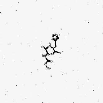 CCC(CNC(=O)OC(C)(C)C)N[C@@H](Cc1c[nH]cn1)C(=O)OC